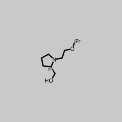 CC(C)OCCN1CCC[C@@H]1CO